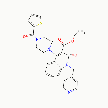 CCOC(=O)c1c(N2CCN(C(=O)c3cccs3)CC2)c2ccccc2n(Cc2ccncc2)c1=O